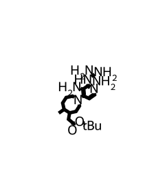 CC1CCCN(c2ccnc(NC(N)(N)N)c2N)CCC1CC(=O)OC(C)(C)C